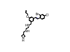 C=CCOc1cc(/C=C/c2ccc(Cl)cc2Br)cc(CNCCNCC2CNC2)c1